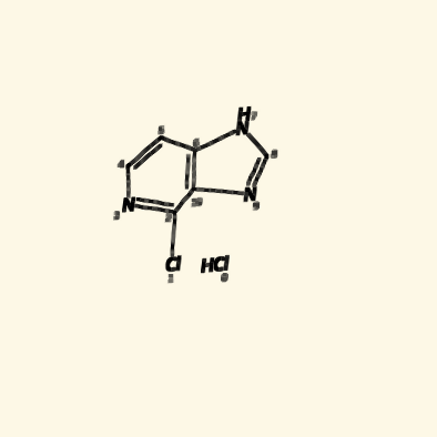 Cl.Clc1nccc2[nH]cnc12